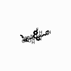 CCCNC(=O)C1(C)COC(c2nc(-c3ccc(F)cc3)c(-c3ccnc(NCCCN4CC=NC4)n3)[nH]2)OC1